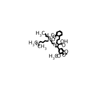 CCCCN(CCCCN(C)C)C(=O)CN1CC(c2cc(OC)c3c(c2)OCO3)C(C(=O)O)C1CCc1ccccc1OC